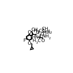 Cc1oc2cc(F)c(OCC3CC3)cc2c1C(=O)NC(C)(CO[Si](C)(C)C(C)(C)C)C(N)=O